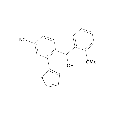 COc1ccccc1C(O)c1ccc(C#N)cc1-c1cccs1